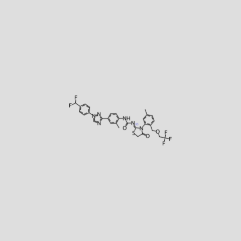 Cc1ccc(COCC(F)(F)F)c(N2C(=O)CS/C2=N\C(=O)Nc2ccc(-c3ncn(-c4ccc(C(F)F)cc4)n3)cc2C)c1